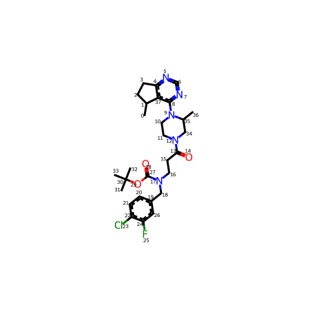 CC1CCc2ncnc(N3CCN(C(=O)CCN(Cc4ccc(Cl)c(F)c4)C(=O)OC(C)(C)C)CC3C)c21